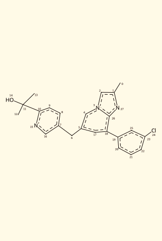 Cc1cn2cc(Cc3ccc(C(C)(C)O)nc3)cc(-c3cccc(Cl)c3)c2n1